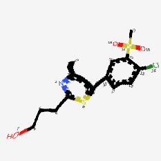 Cc1nc(CC[CH]O)sc1-c1ccc(Cl)c(S(C)(=O)=O)c1